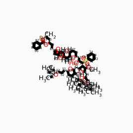 C=C(Br)C[C@@H](CC[C@@]12C[C@H]3O[C@H]4[C@@H](O1)[C@H]1O[C@@H](CC(O)C([C@@H]5[C@@H](OC)[C@@H](C[C@@H](CO[Si](C)(C)C(C)(C)C)O[Si](C)(C)C(C)(C)C)O[C@H]5C[C@H]5O[C@@H](CCCO[Si](CC)(CC)CC)C[C@@H](C)C5=C)S(=O)(=O)c5ccccc5)CC[C@@H]1O[C@H]4[C@H]3O2)OC(=O)c1ccccc1